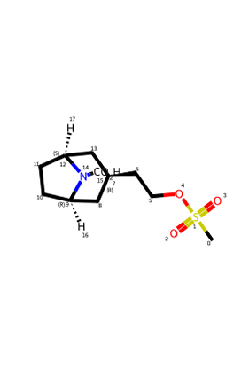 CS(=O)(=O)OCC[C@H]1C[C@H]2CC[C@@H](C1)N2C(=O)O